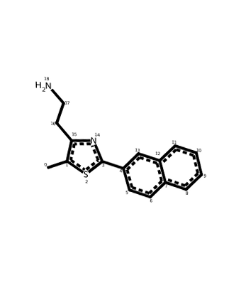 Cc1sc(-c2ccc3ccccc3c2)nc1CCN